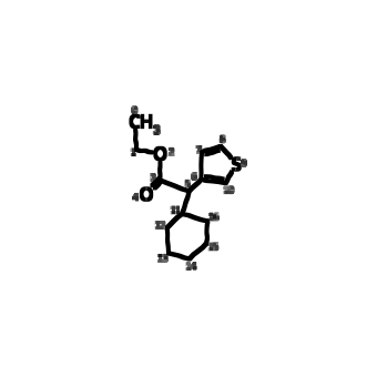 CCOC(=O)C(c1ccsc1)C1CCCCC1